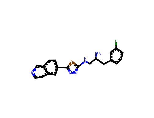 NC(CNc1nnc(-c2ccc3cnccc3c2)s1)Cc1cccc(F)c1